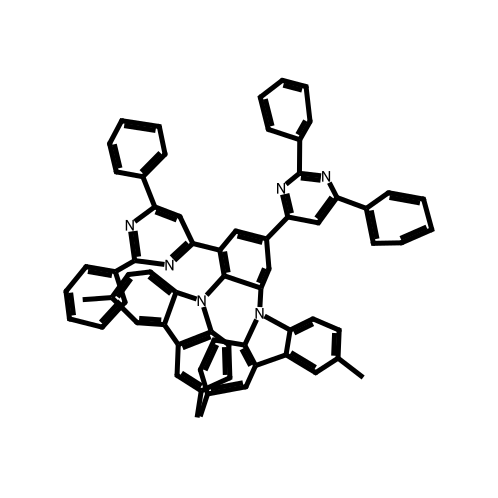 Cc1ccc2c(c1)c1cc(C)ccc1n2-c1cc(-c2cc(-c3ccccc3)nc(-c3ccccc3)n2)cc(-c2cc(-c3ccccc3)nc(-c3ccccc3)n2)c1-n1c2ccc(C)cc2c2cc(C)ccc21